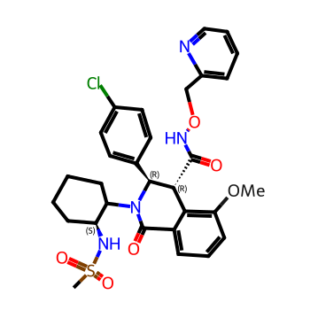 COc1cccc2c1[C@@H](C(=O)NOCc1ccccn1)[C@H](c1ccc(Cl)cc1)N(C1CCCC[C@@H]1NS(C)(=O)=O)C2=O